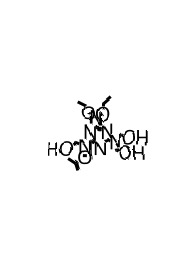 CCON(OCC)c1nc(N(CO)CO)nc(N(CO)OC(C)C)n1